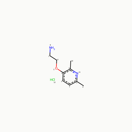 Cc1ccc(OCCN)c(C)n1.Cl